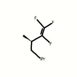 CC(C)C[C@@H](C)C(F)=C(F)F